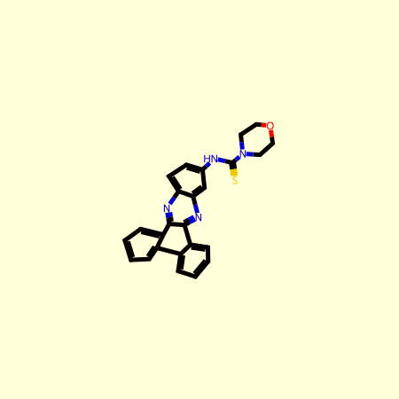 S=C(Nc1ccc2nc3c4ccccc4c4ccccc4c3nc2c1)N1CCOCC1